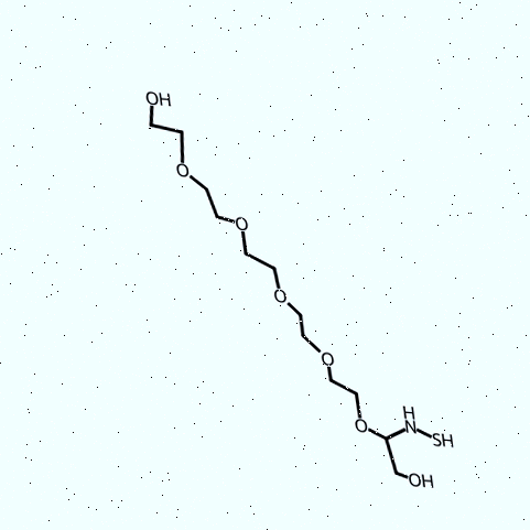 OCCOCCOCCOCCOCCOC(CO)NS